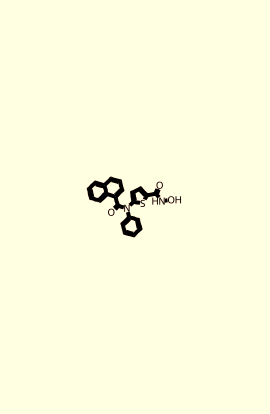 O=C(NO)c1ccc(N(C(=O)c2cccc3ccccc23)c2ccccc2)s1